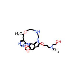 CC1Cc2cncnc2/N=c2\c3c(cc4c2=CN(CCNCCCO1)C(OCCCN(C)CCO)=C4)OCO3